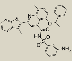 Cc1c(-c2cc(C(=O)NS(=O)(=O)c3cccc(N)c3)c3c(OC(C)c4ccccc4)ccc(C)c3n2)sc2ccccc12